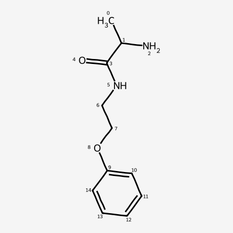 CC(N)C(=O)NCCOc1ccccc1